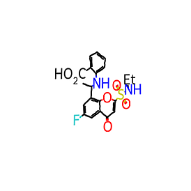 CCNS(=O)(=O)c1cc(=O)c2cc(F)cc(C(C)Nc3ccccc3C(=O)O)c2o1